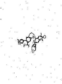 Cc1cc2c(N3CCCc4cc(-c5cnn(C)c5)c(C(F)F)cc43)nc(N3C4CCC3COC4)cc2n(C)c1=O